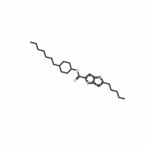 CCCCCCCC1CCC(OC(=O)c2cc3sc(CCCCC)cc3s2)CC1